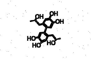 C[C@@H](O)Cc1cc(O)c(O)cc1-c1cc(O)c(O)cc1C[C@@H](C)O